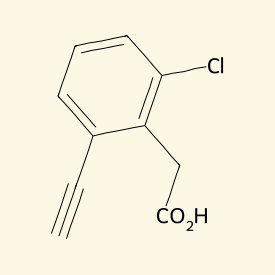 C#Cc1cccc(Cl)c1CC(=O)O